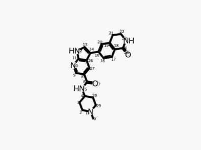 CN1CCC(NC(=O)c2cnc3[nH]cc(-c4ccc5c(c4)CCNC5=O)c3c2)CC1